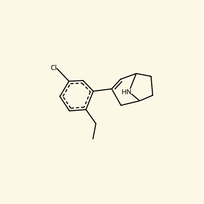 CCc1ccc(Cl)cc1C1=CC2CCC(C1)N2